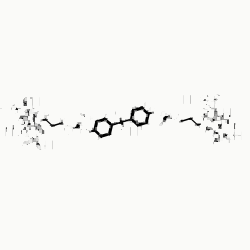 CC(C)(c1ccc(OC(=O)OCCC[Si](C)(O[Si](C)(C)C)O[Si](C)(C)C)cc1)c1ccc(OC(=O)OCCC[Si](C)(O[Si](C)(C)C)O[Si](C)(C)C)cc1